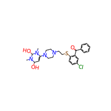 CN1C(N2CCN(CCSc3ccc(Cl)cc3C(=O)c3ccccc3)CC2)=CC(O)N(C)C1O